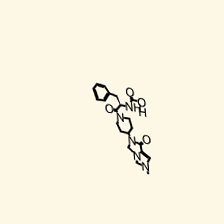 CN1C=C2C(=O)N(C3CCN(C(=O)[C@@H](Cc4ccccc4)NC(=O)O)CC3)CN2C1